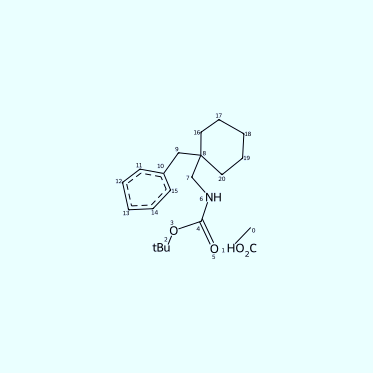 CC(=O)O.CC(C)(C)OC(=O)NCC1(Cc2ccccc2)CCCCC1